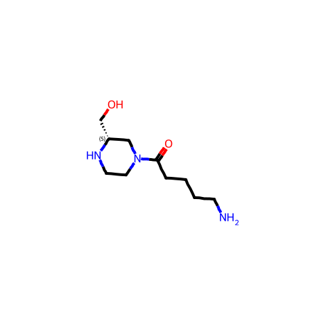 NCCCCC(=O)N1CCN[C@H](CO)C1